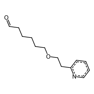 O=CCCCCCOCCc1ccccn1